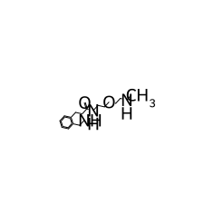 CNCCOCCNC(=O)C1Cc2ccccc2CN1